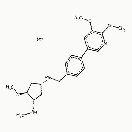 CN[C@H]1C[C@@H](NCc2ccc(-c3cnc(OC)c(OC)c3)cc2)C[C@@H]1OC.Cl